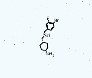 N[C@H]1CC[C@H](CNCc2ccc(Br)c(F)c2)CC1